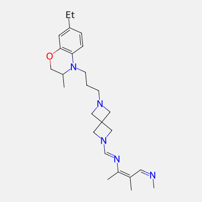 CCc1ccc2c(c1)OCC(C)N2CCCN1CC2(CN(/C=N/C(C)=C(C)\C=N/C)C2)C1